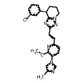 COc1nc(/C=C/c2nc3n(n2)CCC[C@@H]3c2cccc(Cl)c2)ccc1-n1cnc(C)c1